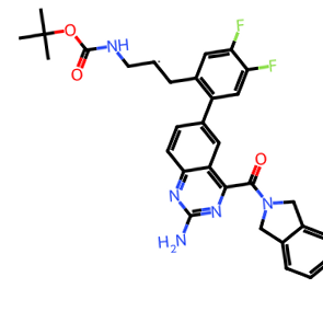 CC(C)(C)OC(=O)NC[CH]Cc1cc(F)c(F)cc1-c1ccc2nc(N)nc(C(=O)N3Cc4ccccc4C3)c2c1